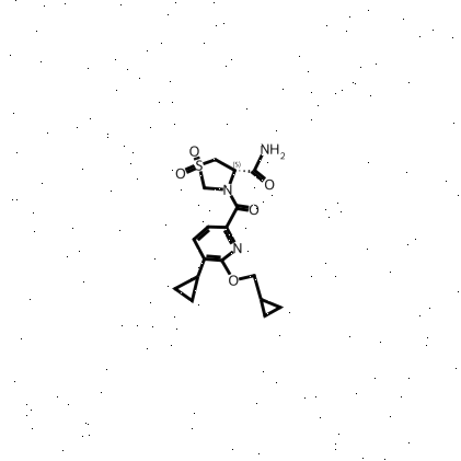 NC(=O)[C@H]1CS(=O)(=O)CN1C(=O)c1ccc(C2CC2)c(OCC2CC2)n1